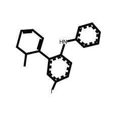 CC1CC=CC=C1c1cc(I)ccc1Nc1ccccc1